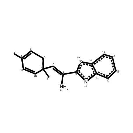 CC1=CCC(C)(C=C(N)c2nc3ccccc3s2)C=C1